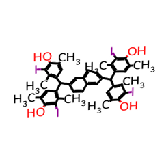 Cc1cc(C(c2ccc3cc(C(c4cc(C)c(O)c(I)c4C)c4cc(C)c(O)c(I)c4C)ccc3c2)c2cc(C)c(O)c(I)c2C)c(C)c(I)c1O